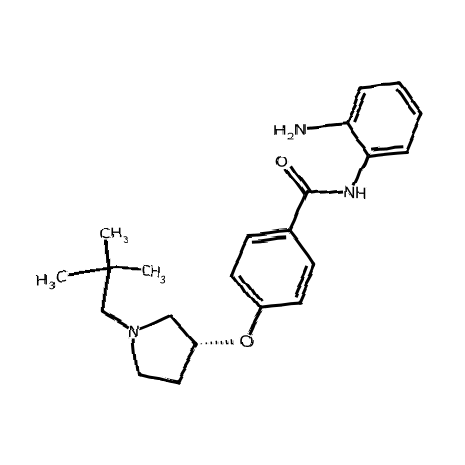 CC(C)(C)CN1CC[C@@H](Oc2ccc(C(=O)Nc3ccccc3N)cc2)C1